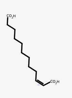 O=C(O)/C=C\CCCCCCCCC(=O)O